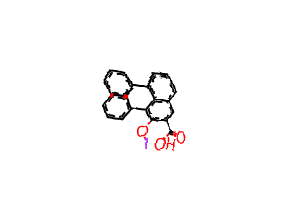 O=C(O)c1cc2cccc(-c3ccccc3)c2c(-c2ccccc2)c1OI